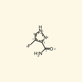 NC(=O)c1n[nH]cc1F